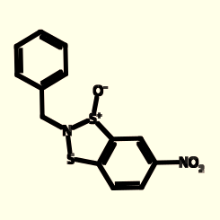 O=[N+]([O-])c1ccc2c(c1)[S+]([O-])N(Cc1ccccc1)S2